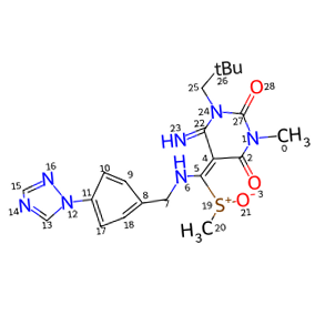 CN1C(=O)/C(=C(/NCc2ccc(-n3cncn3)cc2)[S+](C)[O-])C(=N)N(CC(C)(C)C)C1=O